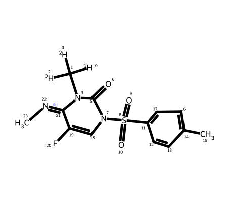 [2H]C([2H])([2H])n1c(=O)n(S(=O)(=O)c2ccc(C)cc2)cc(F)/c1=N\C